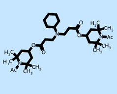 CC(=O)N1C(C)(C)CC(OC(=O)CCN(CCC(=O)OC2CC(C)(C)N(C(C)=O)C(C)(C)C2)C2CCCCC2)CC1(C)C